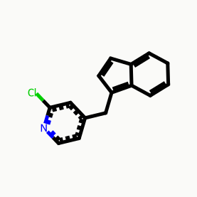 Clc1cc(CC2=C3C=CCC=C3C=C2)ccn1